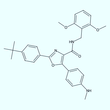 CNc1ccc(-c2oc(-c3ccc(C(C)(C)C)cc3)nc2C(=O)NCc2c(OC)cccc2OC)cc1